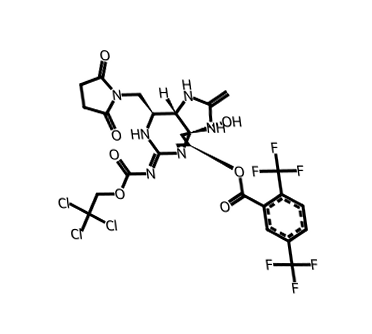 C=C1N[C@H]2[C@H](CN3C(=O)CCC3=O)N/C(=N\C(=O)OCC(Cl)(Cl)Cl)N3C[C@H](OC(=O)c4cc(C(F)(F)F)ccc4C(F)(F)F)[C@H](O)[C@]23N1